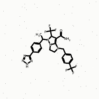 CC(c1ccc(-c2nn[nH]n2)cc1)N1C(C(F)(F)F)C(C(N)=O)=C2N(Cc3ccc(C(F)(F)F)cc3)CCN21